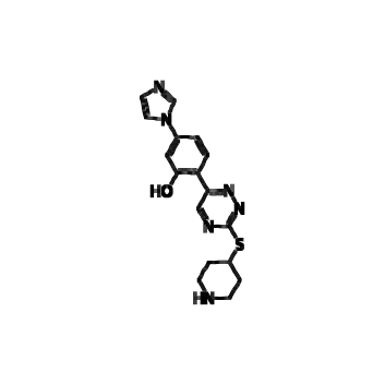 Oc1cc(-n2ccnc2)ccc1-c1cnc(SC2CCNCC2)nn1